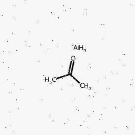 [AlH3].[CH2]C(C)=O